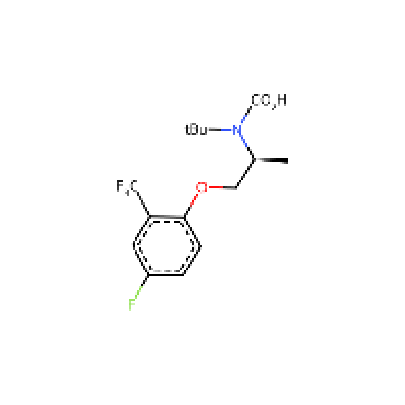 C[C@@H](COc1ccc(F)cc1C(F)(F)F)N(C(=O)O)C(C)(C)C